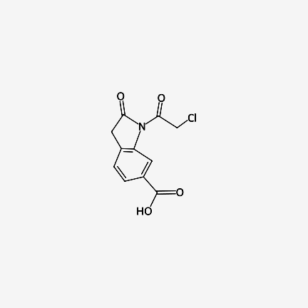 O=C(O)c1ccc2c(c1)N(C(=O)CCl)C(=O)C2